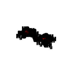 COc1ccc(C(=O)OC2C(OC3C(O)COC(O[C@H]4C[C@H]5[C@@H]6CC=C7C[C@H](OC(=O)OC(=O)O[C@H]8CC[C@@]9(C)C(=CC[C@@H]%10C9CC[C@@]9(C)[C@H]%10C[C@H](OC%10OCC(O)C(OC%11OCC(O)C(O)C%11OC(=O)c%11ccc(OC)cc%11)C%10OC(C)=O)[C@]9(O)[C@H](C)C(=O)CCC(C)C)C8)CC[C@]7(C)C6CC[C@]5(C)[C@@]4(O)[C@H](C)C(=O)CCC(C)C)C3OC(C)=O)OCC(O)C2O)cc1